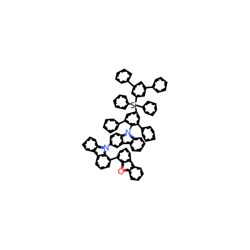 c1ccc(-c2cc(-c3ccccc3)cc([Si](c3ccccc3)(c3ccccc3)c3cc(-c4ccccc4)c(-n4c5ccccc5c5cc(-n6c7ccccc7c7cccc(-c8cccc9c8oc8ccccc89)c76)ccc54)c(-c4ccccc4)c3)c2)cc1